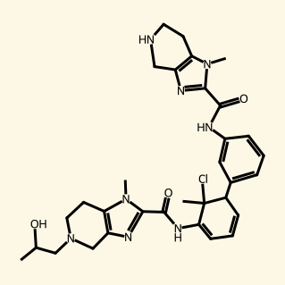 CC(O)CN1CCc2c(nc(C(=O)NC3=CC=CC(c4cccc(NC(=O)c5nc6c(n5C)CCNC6)c4)C3(C)Cl)n2C)C1